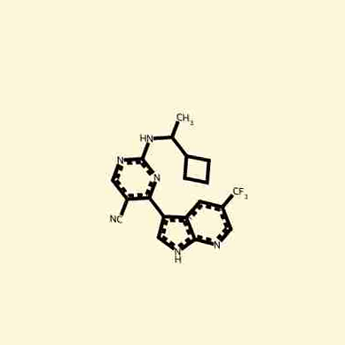 CC(Nc1ncc(C#N)c(-c2c[nH]c3ncc(C(F)(F)F)cc23)n1)C1CCC1